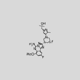 COc1cc(F)cc2c1nc(N)n1nc([C@H]3C[C@@H](F)CN(c4cn(CC(C)(C)O)nc4C)C3)nc21